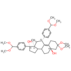 COC(OC)c1ccc([C@H]2C[C@@]3(C)C(CC[C@@]3(O)c3ccc(C(OC)OC)cc3)C3CC[C@@]4(O)CC(OC)(OC)CCC4=C32)cc1